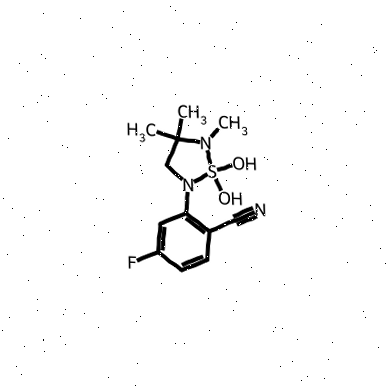 CN1C(C)(C)CN(c2cc(F)ccc2C#N)S1(O)O